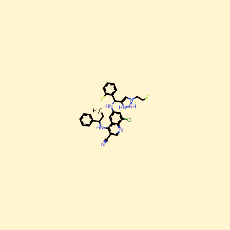 CCC(Nc1c(C#N)cnc2c(Cl)cc(N[C@H](C3=CN(CCF)NN3)c3ccccc3F)cc12)c1ccccc1